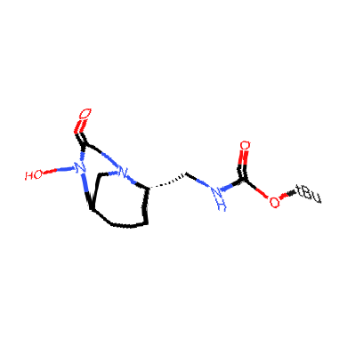 CC(C)(C)OC(=O)NC[C@@H]1CCC2CN1C(=O)N2O